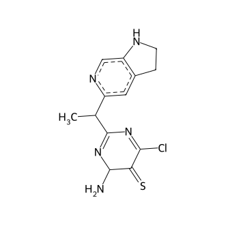 CC(C1=NC(N)C(=S)C(Cl)=N1)c1cc2c(cn1)NCC2